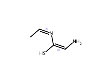 C/C=N\C(S)=C/N